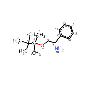 CC(C)(C)[Si](C)(C)OC[C@@H](N)c1ccccc1